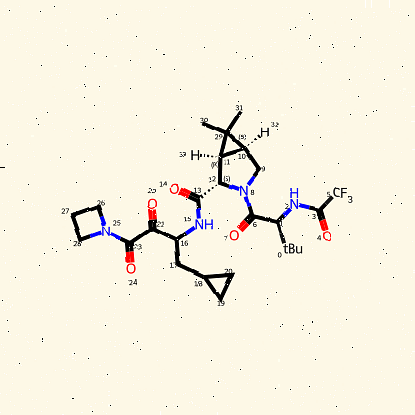 CC(C)(C)C(NC(=O)C(F)(F)F)C(=O)N1C[C@H]2[C@@H]([C@H]1C(=O)NC(CC1CC1)C(=O)C(=O)N1CCC1)C2(C)C